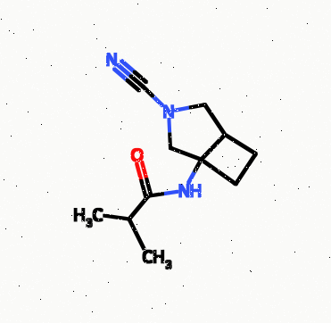 CC(C)C(=O)NC12CCC1CN(C#N)C2